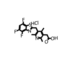 Cc1nc(C)c(Cc2nc3c(F)c(F)cc(F)c3s2)c(C)c1CC(=O)O.Cl